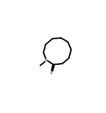 CN1CCCCCCCCC1=S